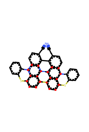 N#Cc1ccc(N2c3ccccc3Sc3ccccc32)c(N2c3ccccc3Sc3ccccc32)c1-c1c(C#N)ccc(N2c3ccccc3Sc3ccccc32)c1N1c2ccccc2Sc2ccccc21